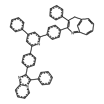 C1=CC2=CC(=NC(c3ccc(-c4cc(-c5ccccc5)cc(-c5ccc(-c6nc7ccccn7c6-c6ccccc6)cc5)n4)cc3)=C(c3ccccc3)C2)C=C1